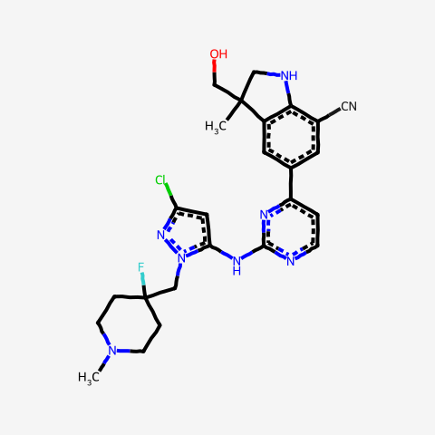 CN1CCC(F)(Cn2nc(Cl)cc2Nc2nccc(-c3cc(C#N)c4c(c3)C(C)(CO)CN4)n2)CC1